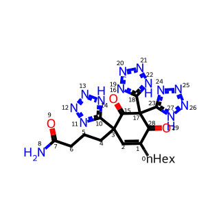 CCCCCCC1=CC(CCCC(N)=O)(c2nnn[nH]2)C(=O)C(c2nnn[nH]2)(c2nnn[nH]2)C1=O